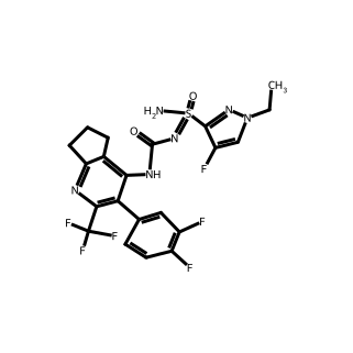 CCn1cc(F)c(S(N)(=O)=NC(=O)Nc2c3c(nc(C(F)(F)F)c2-c2ccc(F)c(F)c2)CCC3)n1